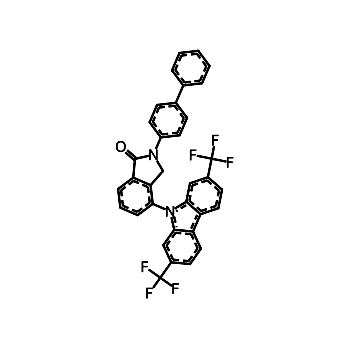 O=C1c2cccc(-n3c4cc(C(F)(F)F)ccc4c4ccc(C(F)(F)F)cc43)c2CN1c1ccc(-c2ccccc2)cc1